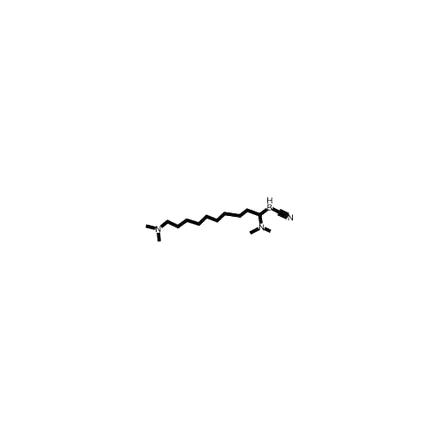 CN(C)CCCCCCCCCC(BC#N)N(C)C